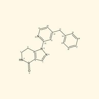 O=C1NCCc2c1cnn2-c1cc(Cc2ccccc2)ccn1